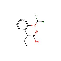 CCC(C(=O)O)c1ccccc1OC(F)F